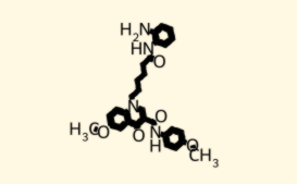 COc1ccc(NC(=O)c2cn(CCCCCC(=O)Nc3ccccc3N)c3ccc(OC)cc3c2=O)cc1